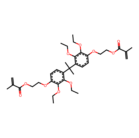 C=C(C)C(=O)OCCOc1ccc(C(C)(C)c2ccc(OCCOC(=O)C(=C)C)c(OCC)c2OCC)c(OCC)c1OCC